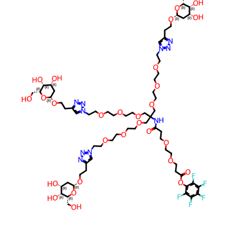 O=C(CCOCCOCCC(=O)Oc1c(F)c(F)c(F)c(F)c1F)NC(COCCOCCOCCn1cc(CCO[C@H]2C[C@@H](O)[C@@H](O)[C@@H](CO)O2)nn1)(COCCOCCOCCn1cc(CCO[C@H]2C[C@@H](O)[C@@H](O)[C@@H](CO)O2)nn1)COCCOCCOCCn1cc(CCO[C@H]2C[C@@H](O)[C@@H](O)[C@@H](CO)O2)nn1